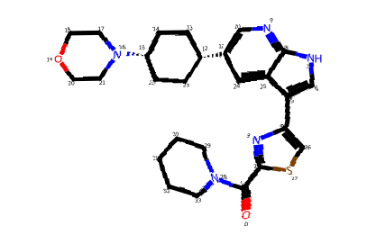 O=C(c1nc(-c2c[nH]c3ncc([C@H]4CC[C@@H](N5CCOCC5)CC4)cc23)cs1)N1CCCCC1